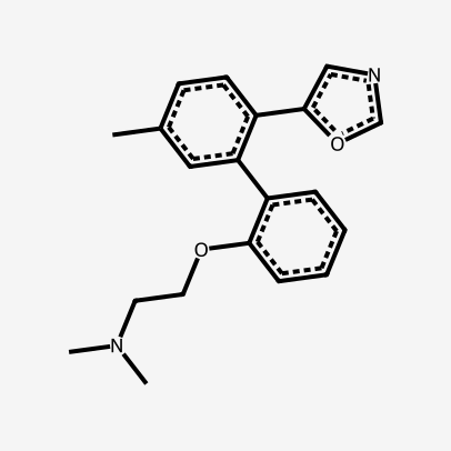 Cc1ccc(-c2cnco2)c(-c2ccccc2OCCN(C)C)c1